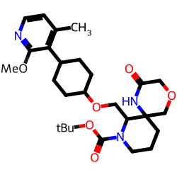 COc1nccc(C)c1C1CCC(OCC2N(C(=O)OC(C)(C)C)CCCC23COCC(=O)N3)CC1